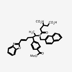 COC(=O)c1ccc(C(C/C=C/c2nc3ccccc3o2)C(C)N(Cc2ccc3ccccc3c2)C(=O)CC(CC(=O)O)C(=O)O)cc1